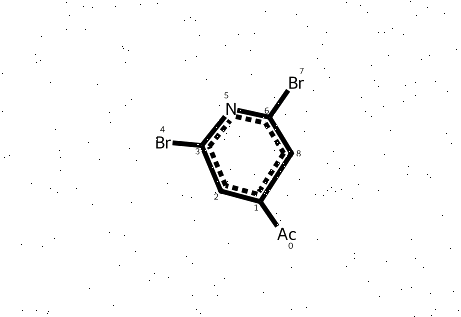 CC(=O)c1cc(Br)nc(Br)c1